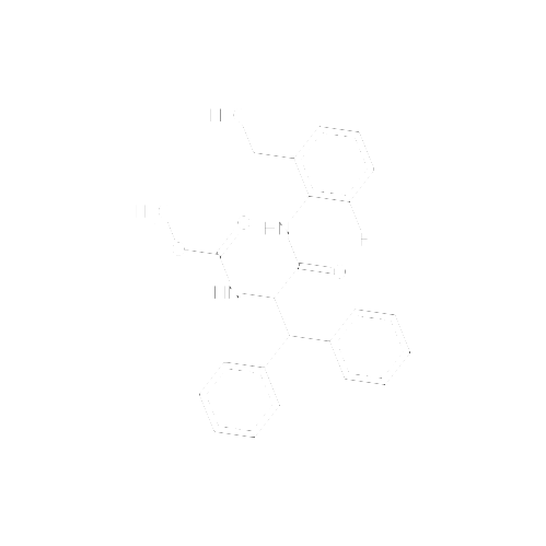 CCc1cccc(F)c1NC(=O)C(NC(=O)OC)C(c1ccccc1)c1ccccc1